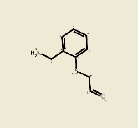 NCc1ccccc1SC[C]=O